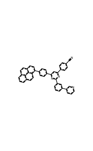 N#Cc1ccc(-c2cc(-c3ccc(-c4ccc5ccc6cccc7ccc4c5c67)cc3)nc(-c3cccc(-c4cccnc4)c3)n2)cc1